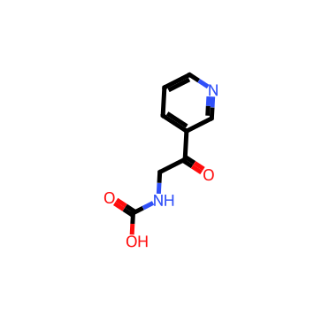 O=C(O)NCC(=O)c1cccnc1